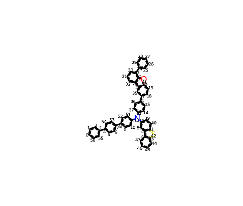 c1ccc(-c2ccc(-c3ccc(N(c4ccc(-c5ccc6oc7c(-c8ccccc8)cccc7c6c5)cc4)c4ccc5sc6ccccc6c5c4)cc3)cc2)cc1